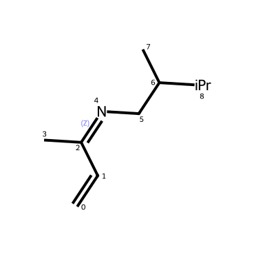 C=C/C(C)=N\CC(C)C(C)C